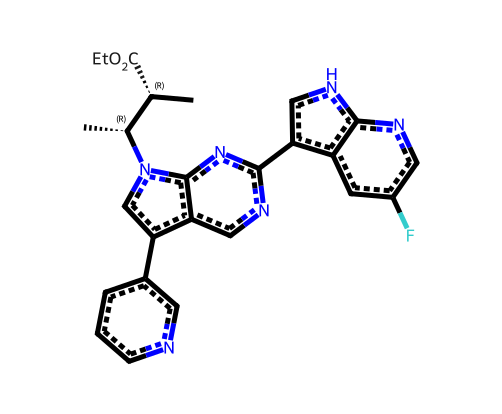 CCOC(=O)[C@H](C)[C@@H](C)n1cc(-c2cccnc2)c2cnc(-c3c[nH]c4ncc(F)cc34)nc21